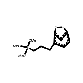 CO[Si](CCCc1ccc2cc1SS2)(OC)OC